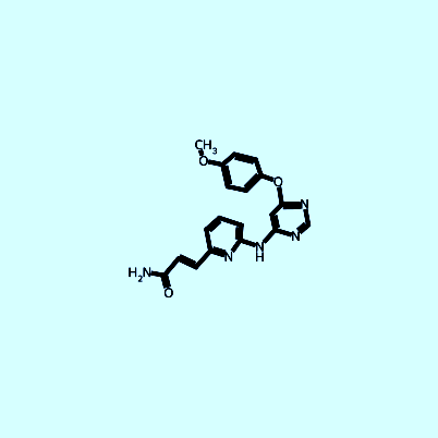 COc1ccc(Oc2cc(Nc3cccc(C=CC(N)=O)n3)ncn2)cc1